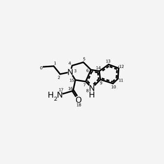 CCCN1CCc2c([nH]c3cc[c]cc23)C1C(N)=O